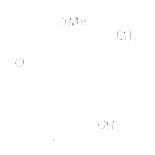 CC=C(C(=O)OC)C1(O)CC1